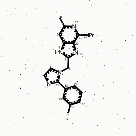 Cc1cc2[nH]c(Cn3ccnc3-c3cccc(F)c3)nc2c(C(C)C)n1